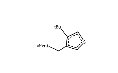 CCCCCCc1cscc1C(C)(C)C